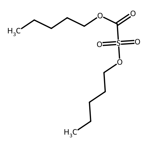 CCCCCOC(=O)S(=O)(=O)OCCCCC